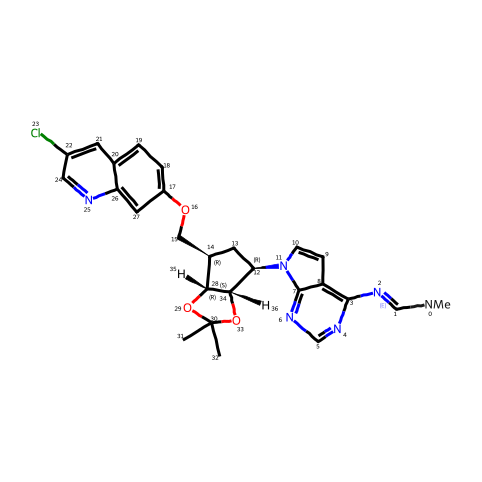 CN/C=N/c1ncnc2c1ccn2[C@@H]1C[C@H](COc2ccc3cc(Cl)cnc3c2)[C@H]2OC(C)(C)O[C@H]21